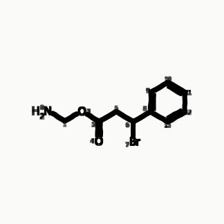 NCOC(=O)CC(Br)c1ccccc1